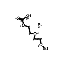 CCOCCOCCOC(=S)S.[Pt]